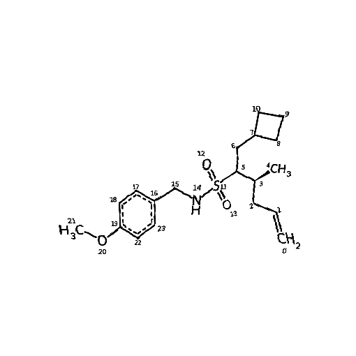 C=CC[C@H](C)C(CC1CCC1)S(=O)(=O)NCc1ccc(OC)cc1